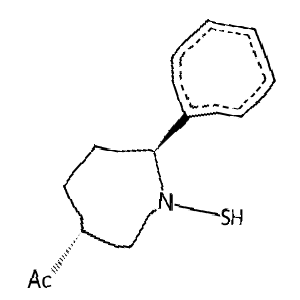 CC(=O)[C@@H]1CC[C@@H](c2ccccc2)N(S)C1